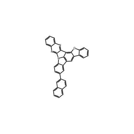 c1ccc2cc(-c3ccc4c(c3)c3cc5c6ccccc6oc5c5c6nc7ccccc7nc6n4c35)ccc2c1